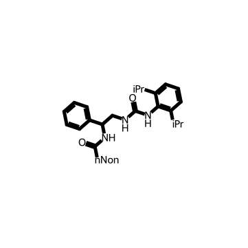 CCCCCCCCCC(=O)NC(CNC(=O)Nc1c(C(C)C)cccc1C(C)C)c1ccccc1